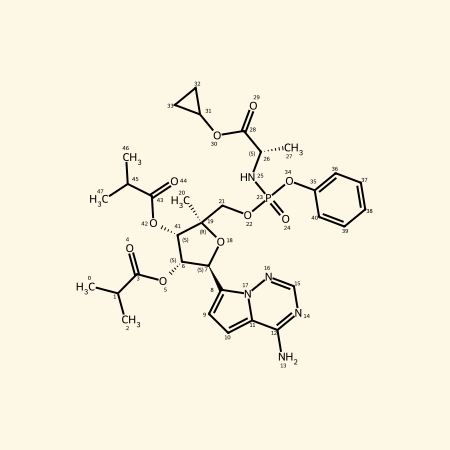 CC(C)C(=O)O[C@H]1[C@H](c2ccc3c(N)ncnn23)O[C@](C)(COP(=O)(N[C@@H](C)C(=O)OC2CC2)Oc2ccccc2)[C@H]1OC(=O)C(C)C